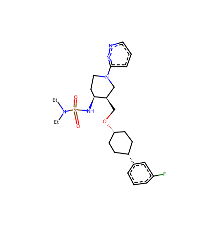 CCN(CC)S(=O)(=O)N[C@H]1CCN(c2cccnn2)C[C@H]1CO[C@H]1CC[C@@H](c2cccc(F)c2)CC1